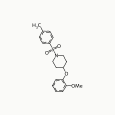 COc1ccccc1OC1CCN(S(=O)(=O)c2ccc(C)cc2)CC1